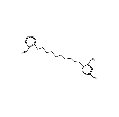 Cc1ccc(CCCCCCCCCCc2ccccc2C=O)c(C)c1